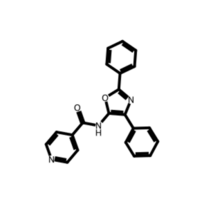 O=C(Nc1oc(-c2ccccc2)nc1-c1ccccc1)c1ccncc1